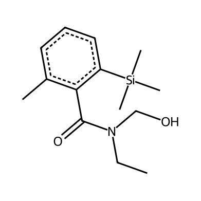 CCN(CO)C(=O)c1c(C)cccc1[Si](C)(C)C